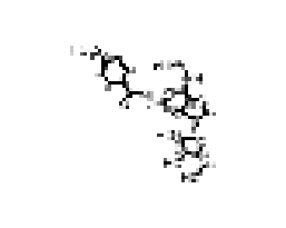 CCCCCCNc1nc(CNC(=O)c2ccc(S(=O)(=O)O)cc2)nc2c1ncn2[C@@H]1O[C@H](CO)[C@@H](O)[C@@H]1O